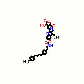 CCc1c2c(nc3ccc(OC(=O)NCCc4ccc(CCCCc5ccc(C)cc5)cc4)cc13)-c1cc3c(c(=O)n1C2)COC(=O)C3O